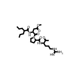 CCCC(CCC)C(=O)NC(CC(=O)OC)C(=O)N1CCCC1C(=O)NC(CCCNC(=N)N)C(C)=O